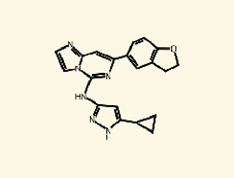 c1cn2c(Nc3cc(C4CC4)[nH]n3)nc(-c3ccc4c(c3)CCO4)cc2n1